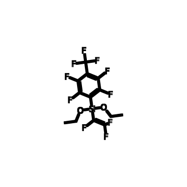 CCO[Si](OCC)(C(F)=C(F)F)c1c(F)c(F)c(C(F)(F)F)c(F)c1F